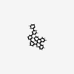 c1ccc(-c2cc(-c3cccc(-c4cccc(-c5nc6ccccc6c6c7ccccc7c7ccccc7c56)c4)c3)ccn2)nc1